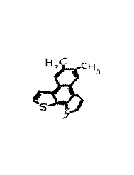 Cc1cc2c(cc1C)c1ccsc1c1sccc21